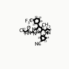 Cc1c(-c2ccnn2-c2ccc(C#N)cc2)cn2nc(NC(=O)CCl)nc2c1-c1cccc(C(F)(F)F)c1